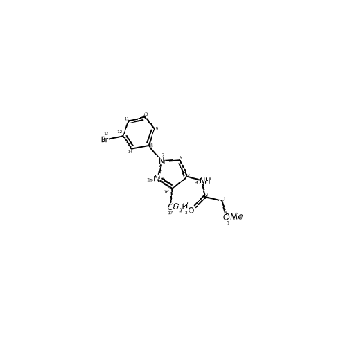 COCC(=O)Nc1cn(-c2cccc(Br)c2)nc1C(=O)O